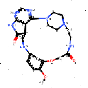 COc1ccc2cc1OCC(=O)NCCN1CCN(CC1)c1ncnc3c1/C(=C/N2)C(=O)N3